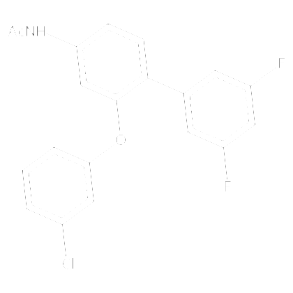 CC(=O)Nc1ccc(-c2cc(F)cc(F)c2)c(Oc2cccc(Cl)c2)c1